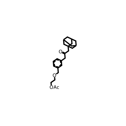 CC(=O)OCCOCc1cccc(CC(=O)CC23CC4CC(CC(C4)C2)C3)c1